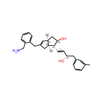 Cc1cccc(C[C@H](O)/C=C/[C@@H]2[C@H]3CC(Cc4ccccc4CN)=C[C@H]3C[C@H]2O)c1